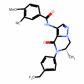 COc1ccc(C(=O)Nc2cnn3c2C(=O)N(c2ccc(CC(F)(F)F)cc2)[C@@H](C)C3)cc1C#N